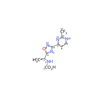 C[C@H](NC(=O)O)c1nc(-c2ccnc(C(F)(F)F)n2)no1